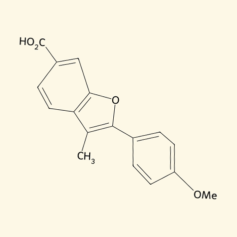 COc1ccc(-c2oc3cc(C(=O)O)ccc3c2C)cc1